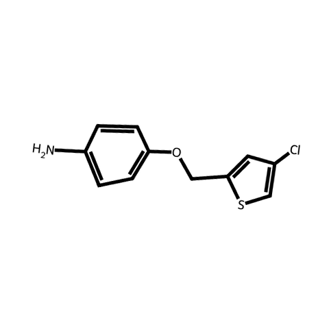 Nc1ccc(OCc2cc(Cl)cs2)cc1